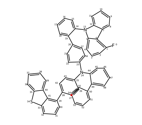 Fc1cccc2c1c1ccccc1n2-c1ccccc1-c1ccc(N(c2ccc(-c3cccc4sc5ccccc5c34)cc2)c2ccccc2-c2ccccc2)cc1